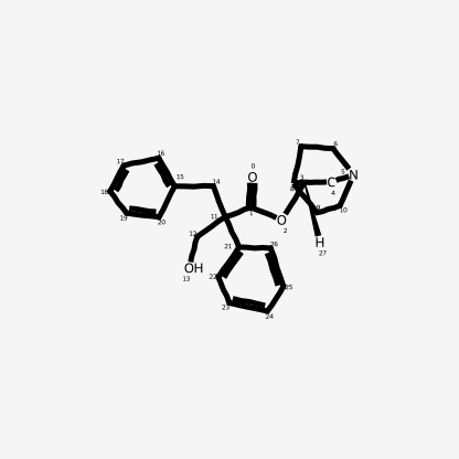 O=C(O[C@H]1CN2CCC1CC2)C(CO)(Cc1ccccc1)c1ccccc1